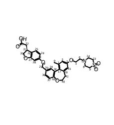 Cc1cc(OCCN2CCS(=O)(=O)CC2)cc2c1-c1cc(COc3ccc4c(c3)OC[C@H]4CC(=O)O)ccc1OCC2